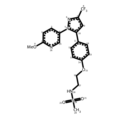 COc1ccc(-n2nc(C(F)(F)F)cc2-c2ccc(OCCNS(C)(=O)=O)cc2)cn1